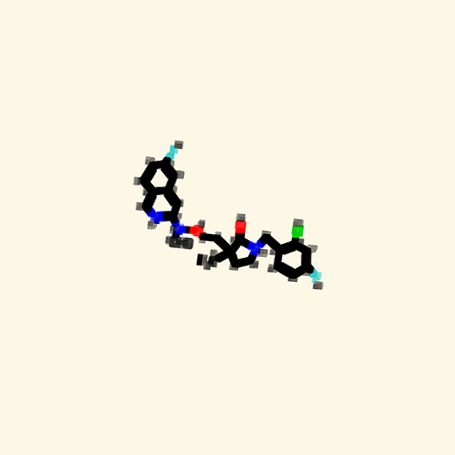 CC1(CCON(C=O)c2cc3cc(F)ccc3cn2)CCN(Cc2ccc(F)cc2Cl)C1=O